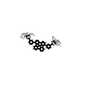 CC1(C)N=C(c2cccc(-c3ccc4c(c3)C3(c5ccccc5-c5ccccc53)c3cc(-c5cccc(C6=NC(C)(C)C(C)(C)S6)c5)ccc3-4)c2)SC1(C)C